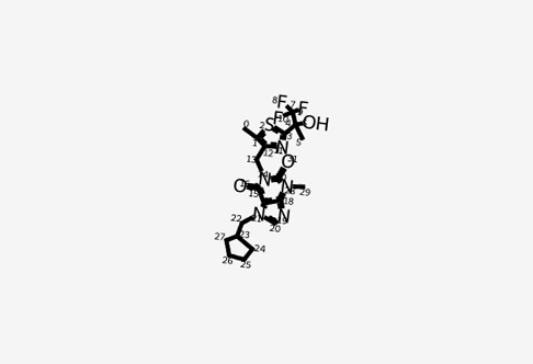 Cc1sc(C(C)(O)C(F)(F)F)nc1Cn1c(=O)c2c(ncn2CC2CCCC2)n(C)c1=O